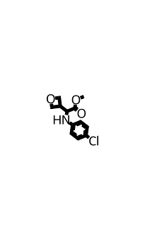 COC(=O)C(Nc1ccc(Cl)cc1)C1COC1